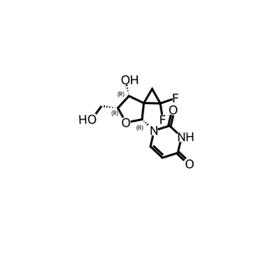 O=c1ccn([C@@H]2O[C@H](CO)[C@H](O)C23CC3(F)F)c(=O)[nH]1